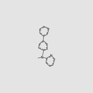 CN(c1ccc(-c2ccccc2)cc1)c1ccccn1